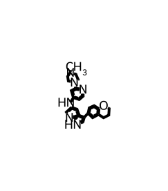 CN1CCN(c2cc(Nc3cnc4[nH]cc(-c5ccc6c(c5)CCCO6)c4c3)ccn2)CC1